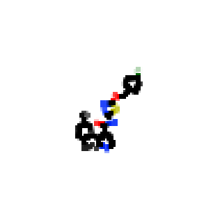 COc1ccc(C#N)cc1-c1cnccc1C(=O)Nc1nnc(OCc2ccc(Cl)cc2)s1